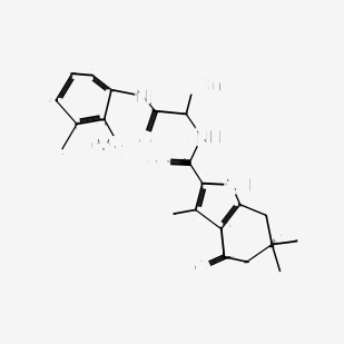 CCCCC(NC(=O)c1[nH]c2c(c1C)C(=O)CC(C)(C)C2)C(=O)Nc1cccc(C)c1OC